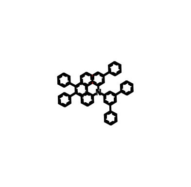 c1ccc(-c2cccc(N(c3cc(-c4ccccc4)cc(-c4ccccc4)c3)c3cccc4c(-c5ccccc5)c(-c5ccccc5)c5ccccc5c34)c2)cc1